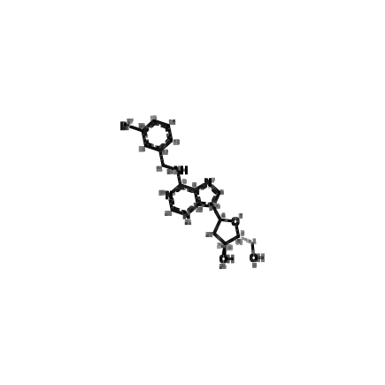 OC[C@H]1OC(n2cnc3c(NCc4cccc(Br)c4)ncnc32)C[C@@H]1O